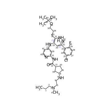 CCCN(C)CCNC1CCC(C(=O)Nc2cc(NC(/C=C(\N)c3cc(Cl)ccc3F)=C(/N)SCCOC(C)(C)C)ccn2)C1